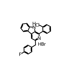 Br.Fc1ccc(Cc2cc3c([nH]c4ccccc43)c(-c3ccccc3Cl)n2)cc1